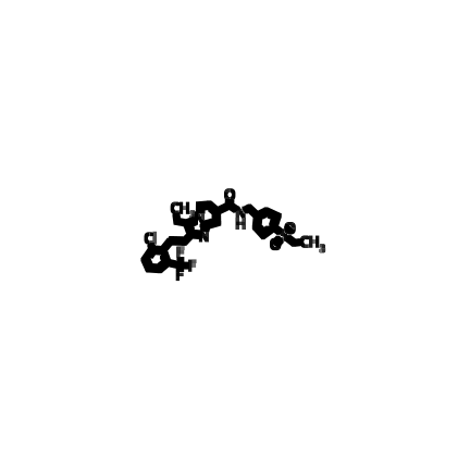 CCc1c(/C=C/c2c(Cl)cccc2C(F)(F)F)nc2cc(C(=O)NCc3ccc(S(=O)(=O)CC)cc3)ccn12